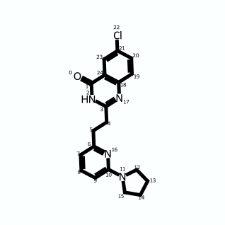 O=c1[nH]c(CCc2cccc(N3CCCC3)n2)nc2ccc(Cl)cc12